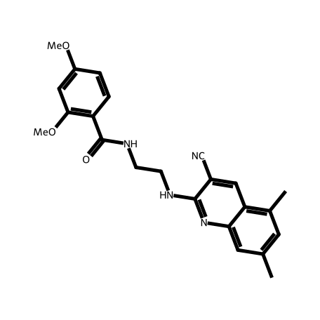 COc1ccc(C(=O)NCCNc2nc3cc(C)cc(C)c3cc2C#N)c(OC)c1